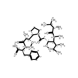 CC[C@H](C)C([C@@H](CC(=O)N1CCC[C@H]1[C@H](OC)[C@@H](C)C(=O)N[C@@H](Cc1ccccc1)C(=O)O)OC)N(C)C(=O)[C@@H](N)C(C)C